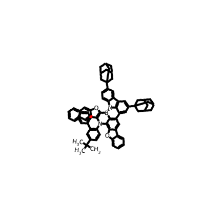 CC(C)(C)c1ccc(N2c3c(oc4cc5ccccc5cc34)B3c4c(cc5c(oc6ccccc65)c42)-c2cc(C45CC6CC(CC(C6)C4)C5)cc4c5cc(C67CC8CC(CC(C8)C6)C7)ccc5n3c24)c(-c2ccccc2)c1